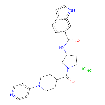 Cl.Cl.O=C(N[C@@H]1CCN(C(=O)C2CCN(c3ccncc3)CC2)C1)c1ccc2cc[nH]c2c1